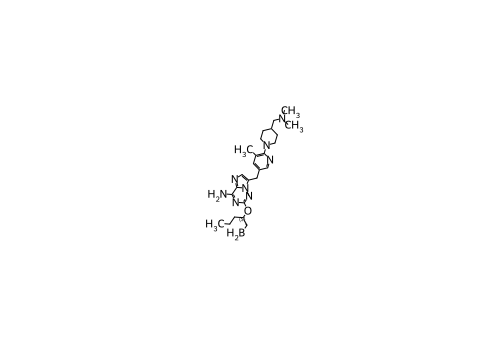 BC[C@@H](CCC)Oc1nc(N)c2ncc(Cc3cnc(N4CCC(CN(C)C)CC4)c(C)c3)n2n1